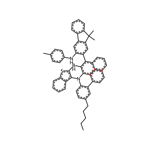 CCCCCc1ccc(N2c3cc4ccccc4c(-c4cc5c(cc4Nc4ccc(C)cc4)-c4ccccc4C5(C)C)c3Bc3sc4ccccc4c32)c(-c2ccccc2)c1